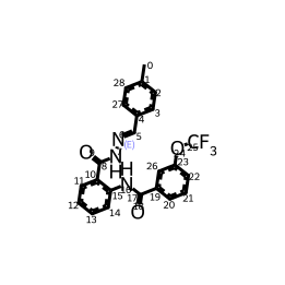 Cc1ccc(/C=N/NC(=O)c2ccccc2NC(=O)c2cccc(OC(F)(F)F)c2)cc1